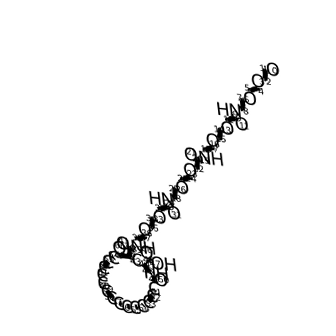 O=[C]COCCOCCNC(=O)COCCOCCNC(=O)COCCOCCNC(=O)COCCOCCNC(=O)C1C[C@@H](C(=O)O)NC(=O)CCCCCCCCCCCCCCC1=O